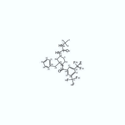 CC(C)(C)NC(=O)NC1CCN(C(=O)c2cc(C(F)(F)F)cc(C(F)(F)F)c2)C(Cc2ccccc2)C1